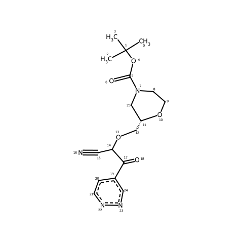 CC(C)(C)OC(=O)N1CCO[C@H](COC(C#N)C(=O)c2ccnnc2)C1